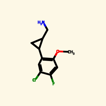 COc1cc(F)c(Cl)cc1C1CC1CN